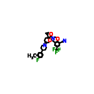 Cc1cc(C2CCN([C@@H]3CC[C@@](C(=O)N4COc5c(C#N)cc(C(F)(F)F)cc5C4)(C4CC4)OC3)CC2)ccc1F